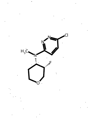 CN(c1ccc(Cl)nn1)[C@H]1CCOC[C@H]1F